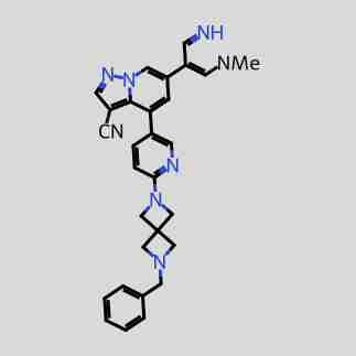 CN/C=C(\C=N)c1cc(-c2ccc(N3CC4(CN(Cc5ccccc5)C4)C3)nc2)c2c(C#N)cnn2c1